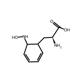 N[C@@H](CC1C=CC=CC1NO)C(=O)O